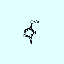 CC(=O)Oc1cnn(C)n1